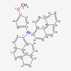 COc1ccc(N(c2ccc3ccc4cccc5ccc2c3c45)c2ccc3ccc4cccc5ccc2c3c45)cc1